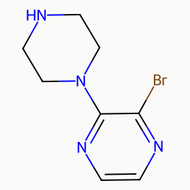 Brc1nccnc1N1CCNCC1